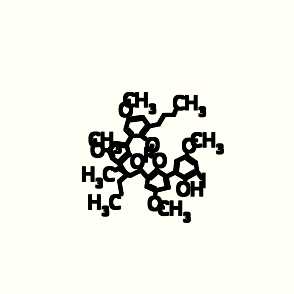 CCCCc1cc(OC)cc(-c2cc(OC)cc(I)c2O)c1Op1oc2c(CCCC)cc(OC)cc2c2cc(OC)cc(CCCC)c2o1